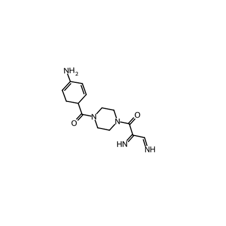 N=CC(=N)C(=O)N1CCN(C(=O)C2C=CC(N)=CC2)CC1